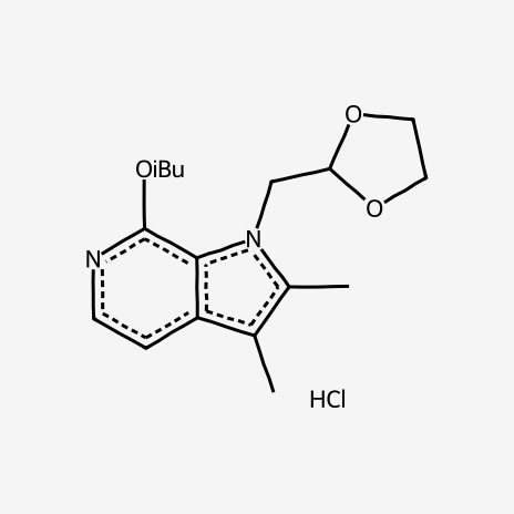 Cc1c(C)n(CC2OCCO2)c2c(OCC(C)C)nccc12.Cl